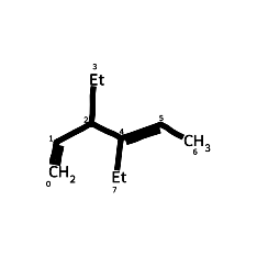 C=C[C](CC)C(=CC)CC